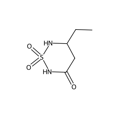 CCC1CC(=O)NS(=O)(=O)N1